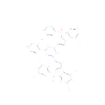 O=P(c1cc(F)cc(F)c1)(c1cc(F)cc(F)c1)c1ccc(-c2nc(-c3ccccc3)nc(-c3ccc(P(=O)(c4cc(F)cc(F)c4)c4cc(F)cc(F)c4)s3)n2)s1